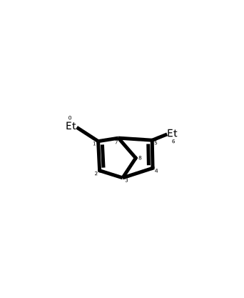 CCC1=CC2C=C(CC)C1C2